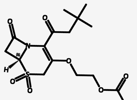 CC(=O)OCCOC1=C(C(=O)CC(C)(C)C)N2C(=O)C[C@@H]2S(=O)(=O)C1